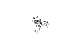 CCCCN1C(=O)C(NNC(=O)C2(C3CC3)CC2)NC(CC)C1C